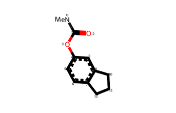 CNC(=O)Oc1ccc2c(c1)CCC2